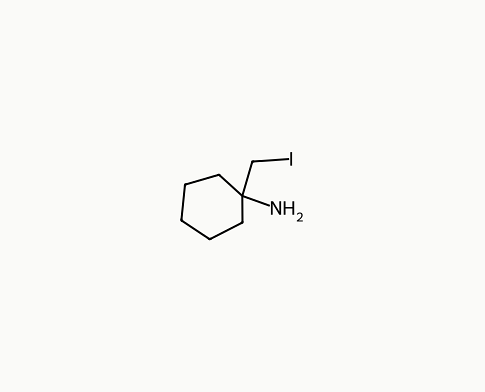 NC1(CI)CCCCC1